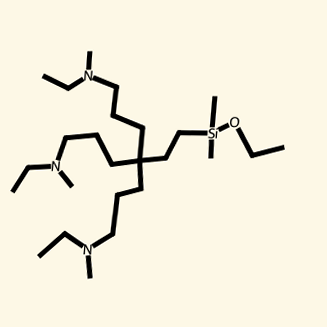 CCO[Si](C)(C)CCC(CCCN(C)CC)(CCCN(C)CC)CCCN(C)CC